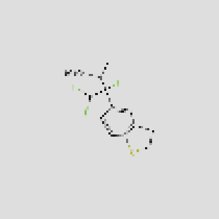 CNC(C)C(F)(c1ccc2c(c1)CCS2)C(F)F